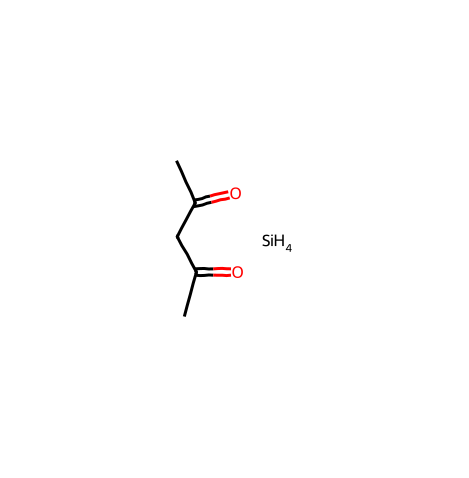 CC(=O)CC(C)=O.[SiH4]